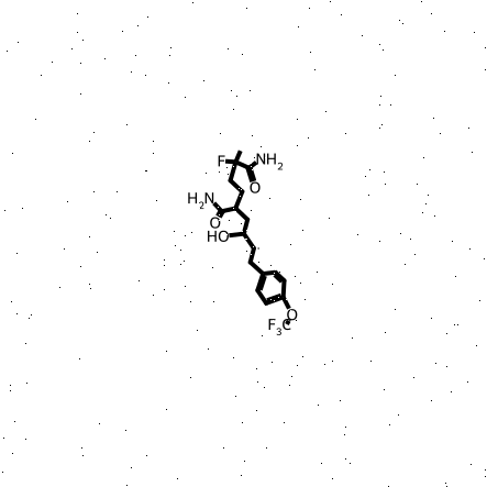 CC(F)(CCC(CC(O)[CH]Cc1ccc(OC(F)(F)F)cc1)C(N)=O)C(N)=O